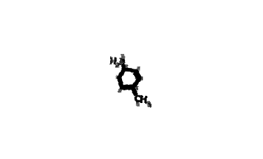 BC1C=CC(C)=CC1